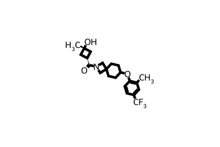 Cc1cc(C(F)(F)F)ccc1OC1CCC2(CC1)CN(C(=O)[C@H]1C[C@@](C)(O)C1)C2